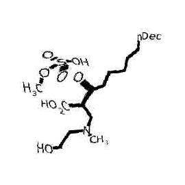 CCCCCCCCCCCCCCCC(=O)C(CN(C)CCO)C(=O)O.COS(=O)(=O)O